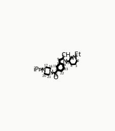 CCN1CCCC(n2c(C)cc3cc(C(=O)N4CCN(C(C)C)CC4)ccc32)C1